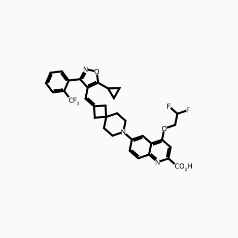 O=C(O)c1cc(OCC(F)F)c2cc(N3CCC4(CC3)CC(=Cc3c(-c5ccccc5C(F)(F)F)noc3C3CC3)C4)ccc2n1